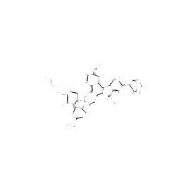 CCCCOc1ccc(C2(c3ccc(OC)cc3)C=Cc3c4c(c5cc(OC)ccc5c3O2)-c2ccc(-c3cncnc3)cc2C4(C)C)cc1